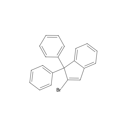 BrC1=Cc2ccccc2C1(c1ccccc1)c1ccccc1